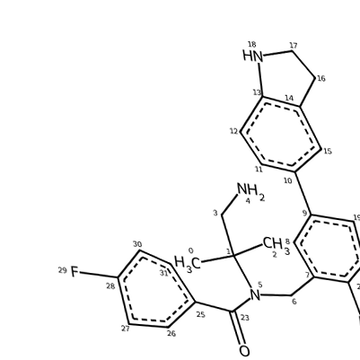 CC(C)(CN)N(Cc1cc(-c2ccc3c(c2)CCN3)ccc1F)C(=O)c1ccc(F)cc1